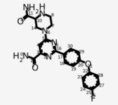 NC(=O)c1cc(N2CCNC(C(N)=O)C2)nc(-c2ccc(Oc3ccc(F)cc3)cc2)n1